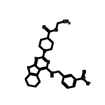 CCOC(=O)C1CCN(c2nc(NCc3cccc([N+](=O)[O-])c3)c3c4c(sc3n2)CCCC4)CC1